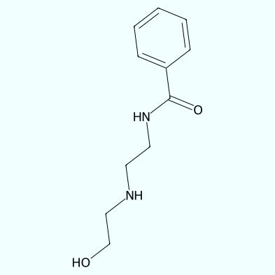 O=C(NCCNCCO)c1ccccc1